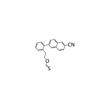 N#Cc1ccc2cc(-c3ccccc3CCOC=S)ccc2c1